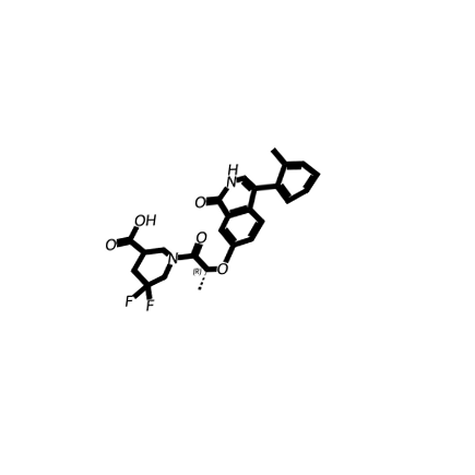 Cc1ccccc1-c1c[nH]c(=O)c2cc(O[C@H](C)C(=O)N3CC(C(=O)O)CC(F)(F)C3)ccc12